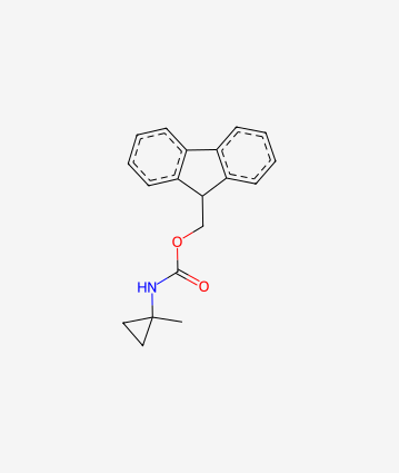 CC1(NC(=O)OCC2c3ccccc3-c3ccccc32)CC1